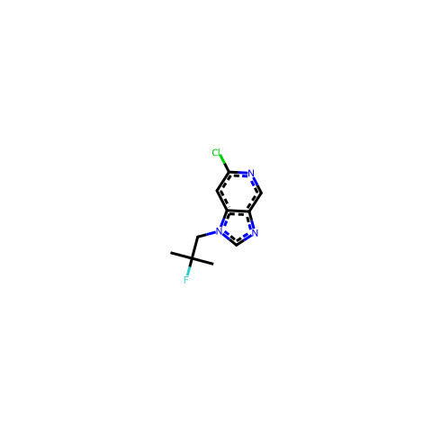 CC(C)(F)Cn1cnc2cnc(Cl)cc21